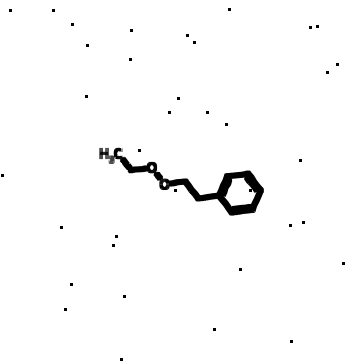 CCOOCCc1ccccc1